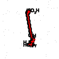 CCCN(CCCO)C(=O)C1=Cc2ccc(-c3cccc(S(=O)(=O)N4CC(CNC(=O)CCOCCOCCOCCOCCOCCOCCOCCOCCOCCOCCC(=O)Oc5c(F)c(F)c(S(=O)(=O)O)c(F)c5F)C4)c3)cc2N=C(N)C1